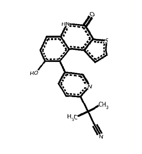 CC(C)(C#N)c1ccc(-c2c(O)ccc3[nH]c(=O)c4sccc4c23)cn1